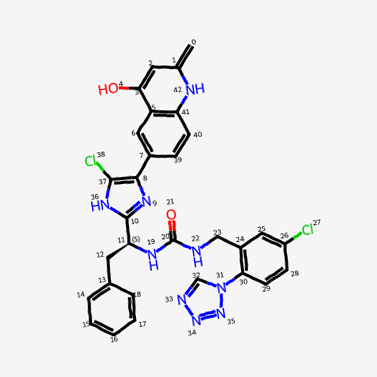 C=C1C=C(O)c2cc(-c3nc([C@H](Cc4ccccc4)NC(=O)NCc4cc(Cl)ccc4-n4cnnn4)[nH]c3Cl)ccc2N1